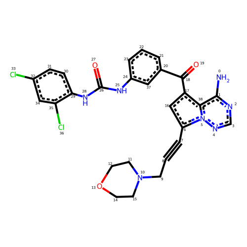 Nc1ncnn2c(C#CCN3CCOCC3)cc(C(=O)c3cccc(NC(=O)Nc4ccc(Cl)cc4Cl)c3)c12